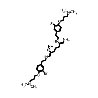 CN(C)CCCOc1ccc(CCN/C=C(/CCC/C(=C/N)NCCc2ccc(OCCCN(C)C)c(Br)c2)N=N)cc1Br